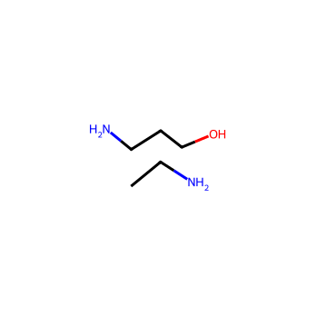 CCN.NCCCO